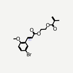 C=C(C)C(=O)OCCOC(=O)/C=C/c1cc(Br)ccc1OC